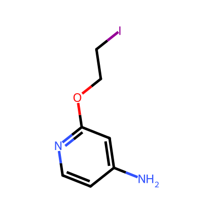 Nc1ccnc(OCCI)c1